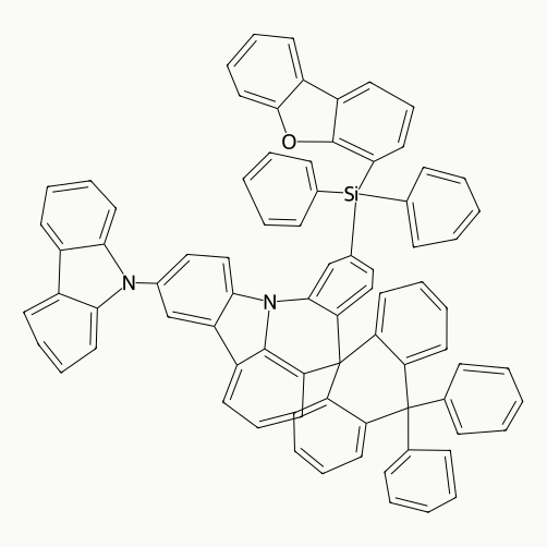 c1ccc(C2(c3ccccc3)c3ccccc3C3(c4ccc([Si](c5ccccc5)(c5ccccc5)c5cccc6c5oc5ccccc56)cc4-n4c5ccc(-n6c7ccccc7c7ccccc76)cc5c5cccc3c54)c3ccccc32)cc1